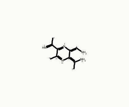 CC(=N)c1nc(=C/N)/c(=C(/C)N)nc1C